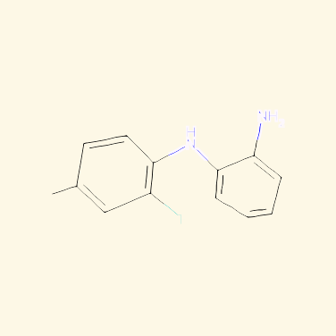 Cc1ccc(Nc2ccccc2N)c(F)c1